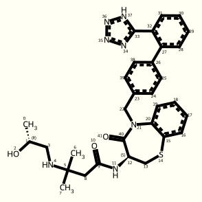 C[C@@H](O)CNC(C)(C)CC(=O)N[C@@H]1CSc2ccccc2N(Cc2ccc(-c3ccccc3-c3nnn[nH]3)cc2)C1=O